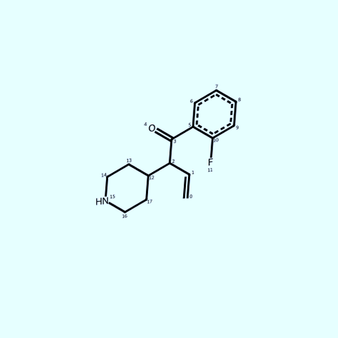 C=CC(C(=O)c1ccccc1F)C1CCNCC1